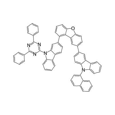 c1ccc(-c2nc(-c3ccccc3)nc(-n3c4ccccc4c4ccc(-c5cccc6oc7ccc(-c8ccc9c(c8)c8ccccc8n9-c8cccc9ccccc89)cc7c56)cc43)n2)cc1